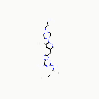 CCC[C@H](C)Nc1nc(N)c2ncc(Cc3cnc(N4CCN(CCCN)CC4)c(C)c3)n2n1